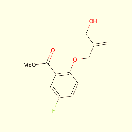 C=C(CO)COc1ccc(F)cc1C(=O)OC